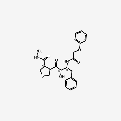 CC(C)(C)NC(=O)[C@@H]1CSCN1C(=O)[C@@H](O)[C@H](Cc1ccccc1)NC(=O)COc1ccccc1